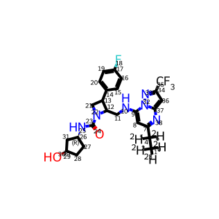 [2H]C([2H])([2H])C([2H])([2H])c1cc(NCC2C(c3ccc(F)cc3)CN2C(=O)N[C@@H]2CC[C@@H](O)C2)n2nc(C(F)(F)F)cc2n1